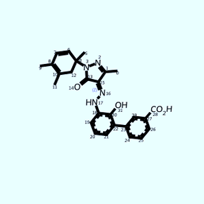 CC1=NN(C2(C)C=CC(C)=C(C)C2)C(=O)/C1=N\Nc1cccc(-c2cccc(C(=O)O)c2)c1O